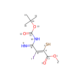 COC(=O)/C(S)=C(\I)C(=N)NC(=O)OC(C)(C)C